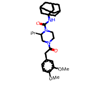 COc1ccc(CC(=O)N2CCN(C(=O)NC34CC5CC(CC(C5)C3)C4)C(C(C)C)C2)cc1OC